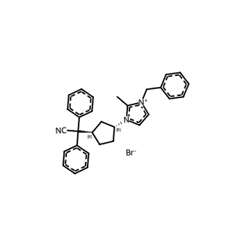 Cc1n([C@@H]2CC[C@@H](C(C#N)(c3ccccc3)c3ccccc3)C2)cc[n+]1Cc1ccccc1.[Br-]